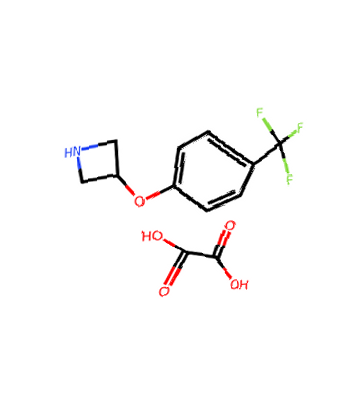 FC(F)(F)c1ccc(OC2CNC2)cc1.O=C(O)C(=O)O